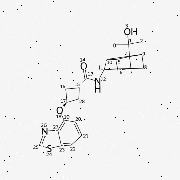 CC(C)(O)C12C3C4C1C1C2C3C41NC(=O)[C@H]1C[C@H](Oc2cccc3scnc23)C1